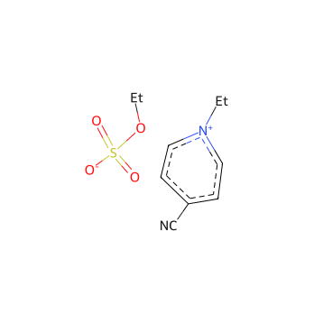 CCOS(=O)(=O)[O-].CC[n+]1ccc(C#N)cc1